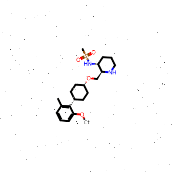 CCOc1cccc(C)c1[C@H]1CC[C@@H](OC[C@@H]2NCCC[C@@H]2NS(C)(=O)=O)CC1